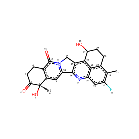 CC[C@@]1(O)C(=O)CCc2c1cc1n(c2=O)Cc2c-1nc1cc(F)c(C)c3c1c2C(O)CC3